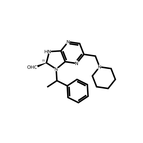 CC(c1ccccc1)N1c2nc(CN3CCCCC3)cnc2N[C@@H]1C=O